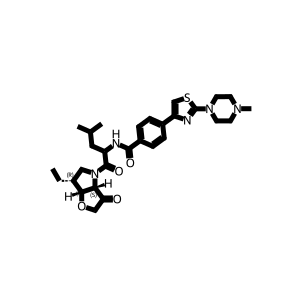 CC[C@@H]1CN(C(=O)C(CC(C)C)NC(=O)c2ccc(-c3csc(N4CCN(C)CC4)n3)cc2)[C@@H]2C(=O)CO[C@H]12